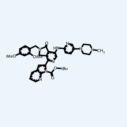 COc1ccc(CN2Cc3c(-c4cc5cccnc5n4C(=O)OC(C)(C)C)ncc(Nc4ccc(N5CCN(C)CC5)cn4)c3C2=O)c(OC)c1